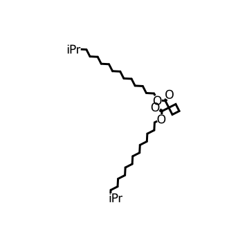 CC(C)CCCCCCCCCCCCCOC(=O)C1(C(=O)OCCCCCCCCCCCCCC(C)C)CCC1